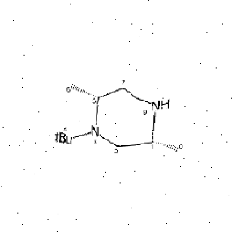 C[C@@H]1CN(C(C)(C)C)[C@H](C)CN1